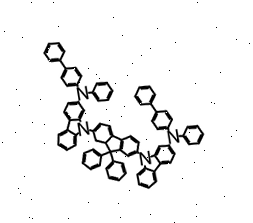 C1=C2c3ccc(-n4c5ccccc5c5ccc(N(c6ccccc6)c6ccc(-c7ccccc7)cc6)cc54)cc3C(c3ccccc3)(c3ccccc3)C2CC(n2c3ccccc3c3ccc(N(c4ccccc4)c4ccc(-c5ccccc5)cc4)cc32)=C1